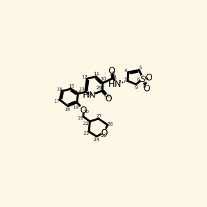 O=C(N[C@@H]1C=CS(=O)(=O)C1)c1ccc(-c2ccccc2OCC2CCOCC2)[nH]c1=O